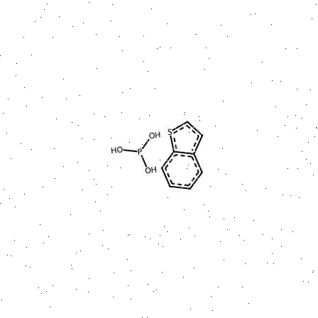 OP(O)O.c1ccc2sccc2c1